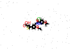 CCCOc1ccc(-c2csc(C(=O)O)c2)cc1CNC(=O)c1ccc(OC(C)C)cc1Cl